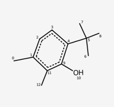 Cc1ccc(C(C)(C)C)c(O)c1C